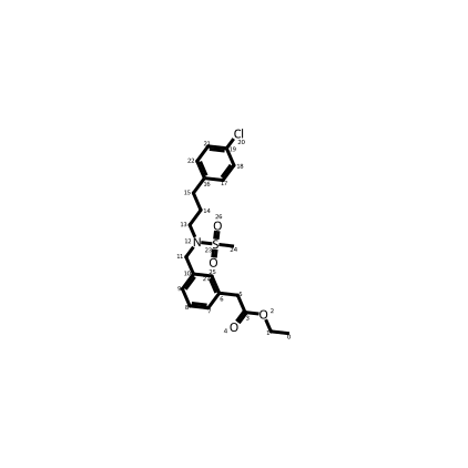 CCOC(=O)Cc1cccc(CN(CCCc2ccc(Cl)cc2)S(C)(=O)=O)c1